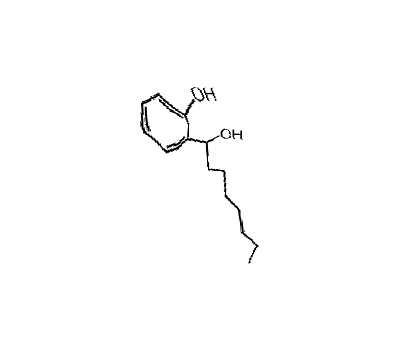 CCCCCCCC(O)c1ccccc1O